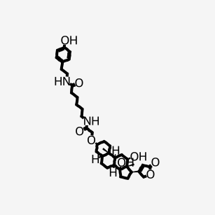 C[C@]12CC[C@H](OCC(=O)NCCCCCC(=O)NCCc3ccc(O)cc3)C[C@H]1CC[C@@H]1[C@@H]2C[C@@H](O)[C@]2(C)[C@@H](C3=CC(=O)OC3)CC[C@]12O